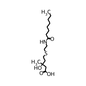 CCCCCCCC(=O)NCCSCCC(C)(O)CC(=O)O